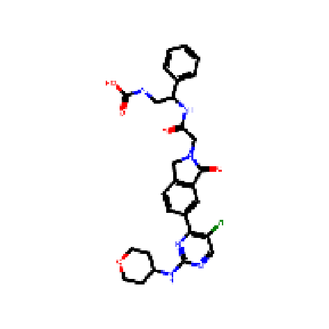 O=C(O)NCC(NC(=O)CN1Cc2ccc(-c3nc(NC4CCOCC4)ncc3Cl)cc2C1=O)c1ccccc1